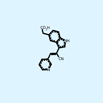 N#CC(=Cc1cccnc1)c1c[nH]c2ccc(CC(=O)O)cc12